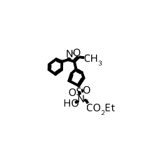 CCOC(=O)CN(O)S(=O)(=O)c1ccc(-c2c(-c3ccccc3)noc2C)cc1